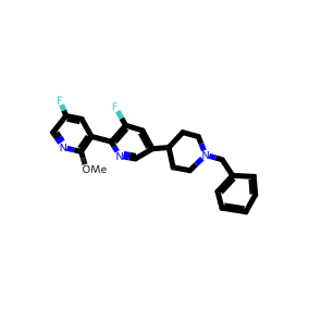 COc1ncc(F)cc1-c1ncc(C2CCN(Cc3ccccc3)CC2)cc1F